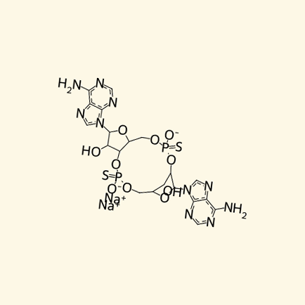 Nc1ncnc2c1ncn2C1OC2COP([O-])(=S)OC3C(O)C(COP([O-])(=S)OC2C1O)OC3n1cnc2c(N)ncnc21.[Na+].[Na+]